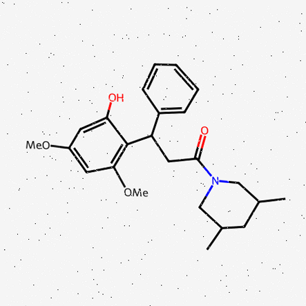 COc1cc(O)c(C(CC(=O)N2CC(C)CC(C)C2)c2ccccc2)c(OC)c1